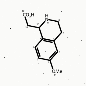 COc1ccc2c(c1)CCNC2CC(=O)O